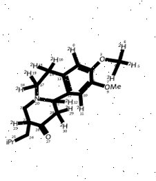 [2H]c1c(OC([2H])([2H])[2H])c(OC)c([2H])c2c1C([2H])([2H])C([2H])([2H])N1CC([2H])(CC(C)C)C(=O)C([2H])([2H])C21[2H]